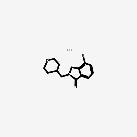 Cl.O=C1c2cccc(Br)c2CN1CC1CCNCC1